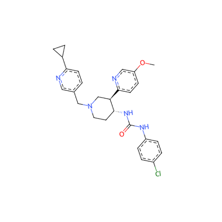 COc1ccc([C@@H]2CN(Cc3ccc(C4CC4)nc3)CC[C@H]2NC(=O)Nc2ccc(Cl)cc2)nc1